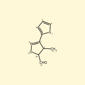 CC1C(c2cccs2)=NOC1C=O